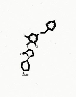 CO[C@H]1CC[C@H](N2CC[C@@H](Cc3c(Cl)cc(OCc4ccccc4)cc3Cl)C2=O)CC1